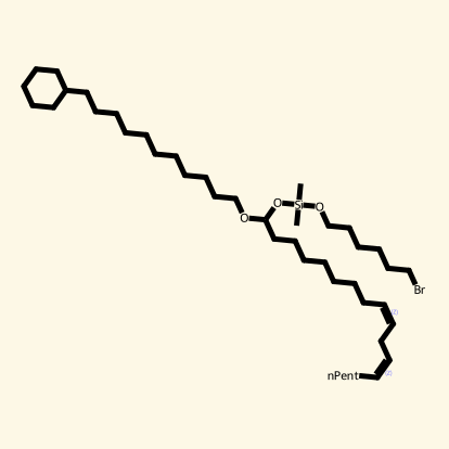 CCCCC/C=C\C/C=C\CCCCCCCC(OCCCCCCCCCCCC1CCCCC1)O[Si](C)(C)OCCCCCCBr